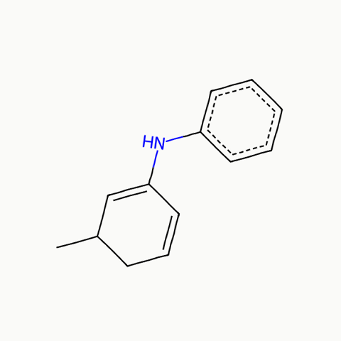 CC1C=C(Nc2ccccc2)C=CC1